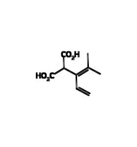 C=CC(=C(C)C)C(C(=O)O)C(=O)O